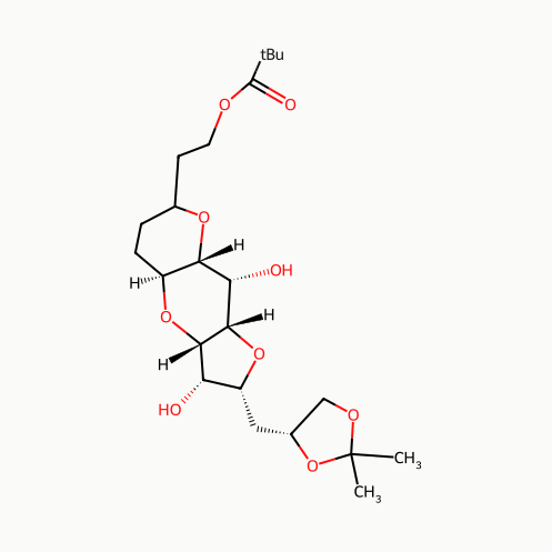 CC1(C)OC[C@@H](C[C@H]2O[C@H]3[C@@H](O)[C@H]4OC(CCOC(=O)C(C)(C)C)CC[C@@H]4O[C@H]3[C@H]2O)O1